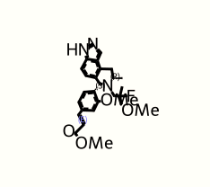 COCC(C)(F)CN1[C@H](c2ccc(/C=C/C(=O)OC)cc2OC)c2ccc3[nH]ncc3c2C[C@H]1C